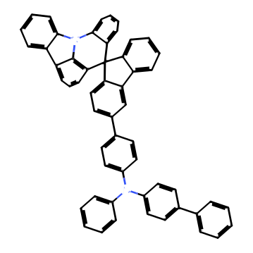 c1ccc(-c2ccc(N(c3ccccc3)c3ccc(-c4ccc5c(c4)-c4ccccc4C54c5ccccc5-n5c6ccccc6c6cccc4c65)cc3)cc2)cc1